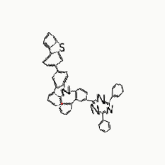 c1ccc(-c2nc(-c3ccccc3)nc(-c3ccc(-n4c5ccccc5c5cc(-c6ccc7c(c6)sc6ccccc67)ccc54)c(-c4ccccc4)c3)n2)cc1